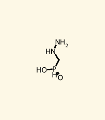 NNC[PH](=O)O